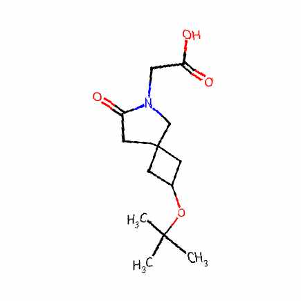 CC(C)(C)OC1CC2(CC(=O)N(CC(=O)O)C2)C1